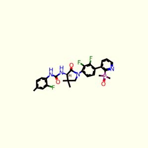 Cc1ccc(NC(=O)N[C@H]2C(=O)N(c3ccc(-c4cccnc4P(C)(C)=O)c(F)c3F)CC2(C)C)c(F)c1